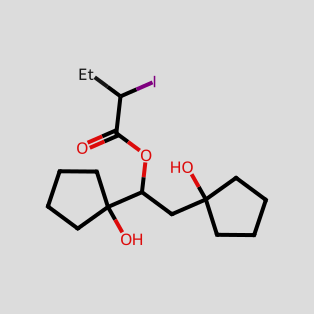 CCC(I)C(=O)OC(CC1(O)CCCC1)C1(O)CCCC1